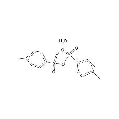 Cc1ccc(S(=O)(=O)OS(=O)(=O)c2ccc(C)cc2)cc1.O